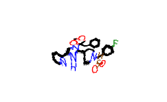 O=[SH](=O)C(c1ccc(F)cc1)N1CCC(C2NC(c3ccccn3)=CN2C2(Cc3ccccc3)COCO2)CC1